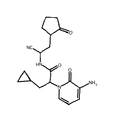 N#CC(CC1CCCC1=O)NC(=O)C(CC1CC1)n1cccc(N)c1=O